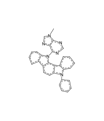 Cn1cnc2c(-n3c4ccccc4c4ccc5c(c6ccccc6n5-c5ccccc5)c43)ncnc21